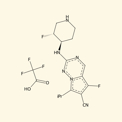 CC(C)c1c(C#N)c(F)c2cnc(N[C@@H]3CCNC[C@H]3F)nn12.O=C(O)C(F)(F)F